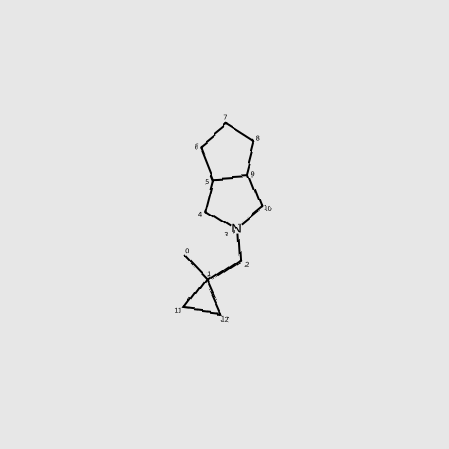 CC1(CN2CC3CCCC3C2)CC1